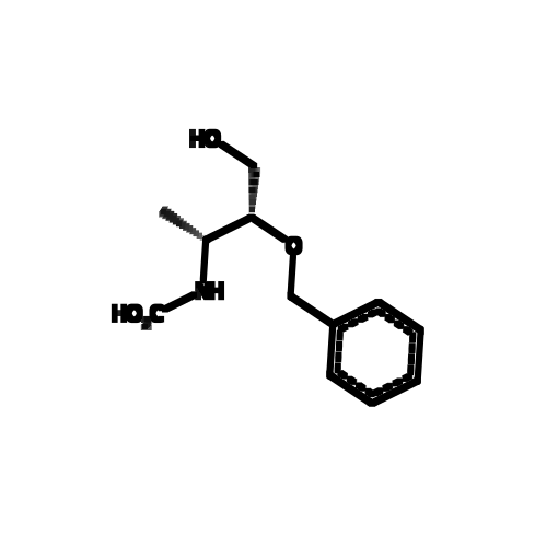 C[C@@H](NC(=O)O)[C@H](CO)OCc1ccccc1